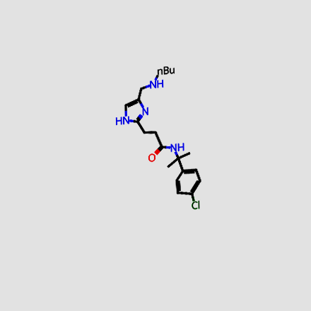 CCCCNCc1c[nH]c(CCC(=O)NC(C)(C)c2ccc(Cl)cc2)n1